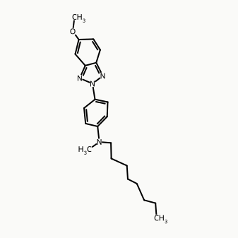 CCCCCCCCN(C)c1ccc(-n2nc3ccc(OC)cc3n2)cc1